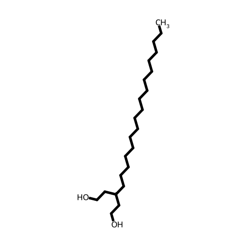 CCCCCCCCCCCCCCCCCC[C](CCO)CCO